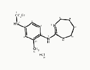 CCOC(=O)Nc1ccc(NC2=NCCCCC2)c(C)c1.Cl